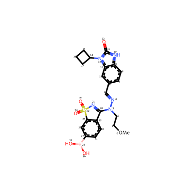 COCCN(/N=C/c1ccc2[nH]c(=O)n(C3CCC3)c2c1)C1=NS(=O)(=O)c2cc(B(O)O)ccc21